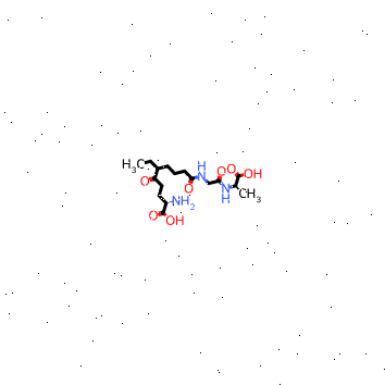 CCC(CCCC(=O)NCC(=O)N[C@H](C)C(=O)O)C(=O)CC[C@H](N)C(=O)O